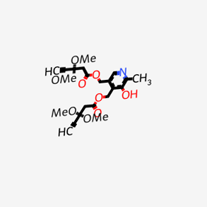 C#CC(CC(=O)OCc1cnc(C)c(O)c1COC(=O)CC(C#C)(OC)OC)(OC)OC